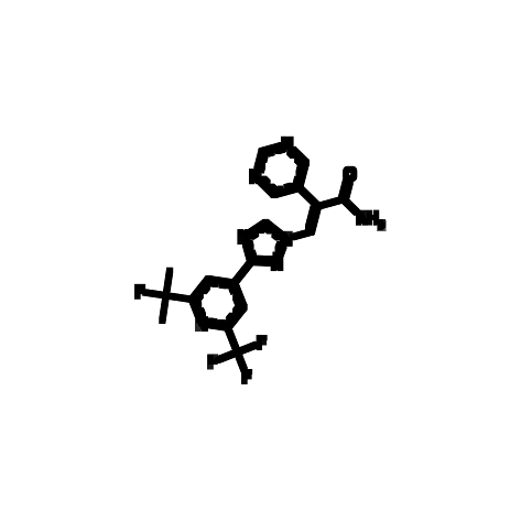 CC(C)(F)c1cc(-c2ncn(/C=C(/C(N)=O)c3cncnc3)n2)cc(C(F)(F)F)n1